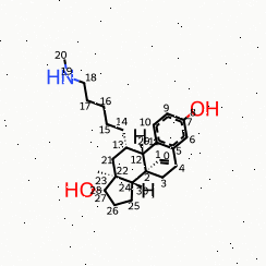 C=C[C@@]12CCc3cc(O)ccc3[C@H]1[C@@H](CCCCCNC)C[C@@]1(C)[C@H]2CC[C@@H]1O